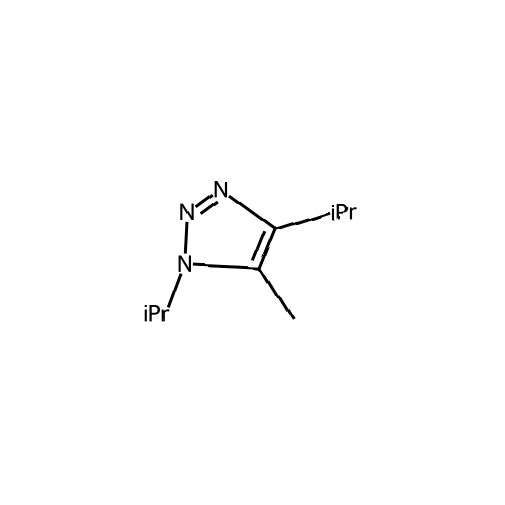 Cc1c(C(C)C)nnn1C(C)C